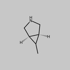 CC1[C@H]2CNC[C@@H]12